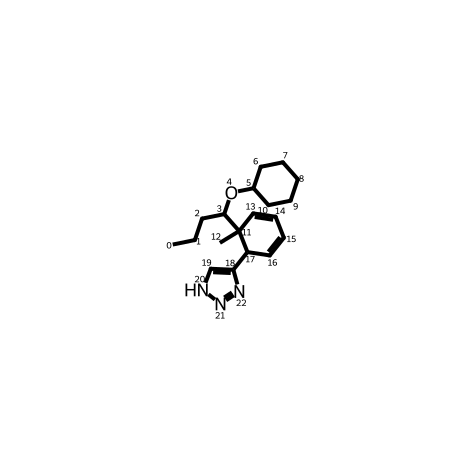 CCCC(OC1CCCCC1)C1(C)C=CC=CC1c1c[nH]nn1